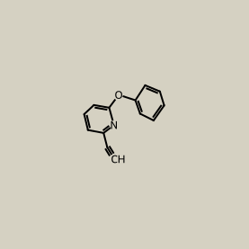 C#Cc1cccc(Oc2ccccc2)n1